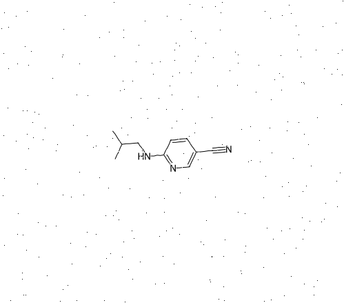 CC(C)CNc1ccc(C#N)cn1